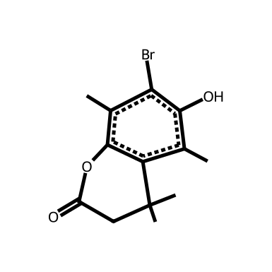 Cc1c(Br)c(O)c(C)c2c1OC(=O)CC2(C)C